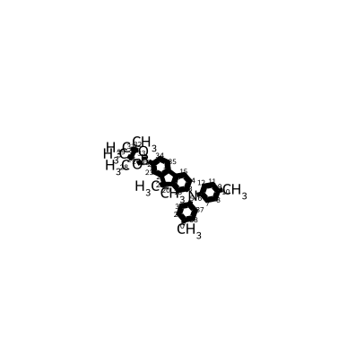 Cc1ccc(N(c2ccc(C)cc2)c2ccc3c(c2)C(C)(C)c2cc(B4OC(C)(C)C(C)(C)O4)ccc2-3)cc1